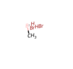 Br.Br.[B]C